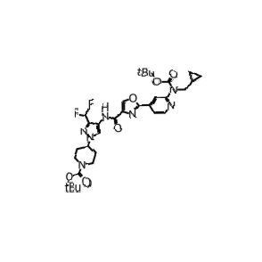 CC(C)(C)OC(=O)N1CCC(n2cc(NC(=O)c3coc(-c4ccnc(N(CC5CC5)C(=O)OC(C)(C)C)c4)n3)c(C(F)F)n2)CC1